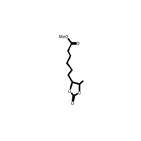 COC(=O)CCCCCC1OC(=O)OC1C